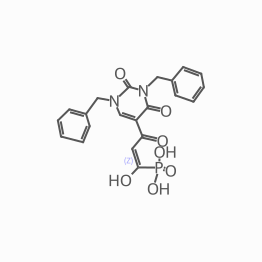 O=C(/C=C(/O)P(=O)(O)O)c1cn(Cc2ccccc2)c(=O)n(Cc2ccccc2)c1=O